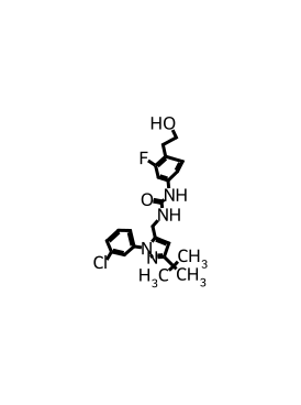 CC(C)(C)c1cc(CNC(=O)Nc2ccc(CCO)c(F)c2)n(-c2cccc(Cl)c2)n1